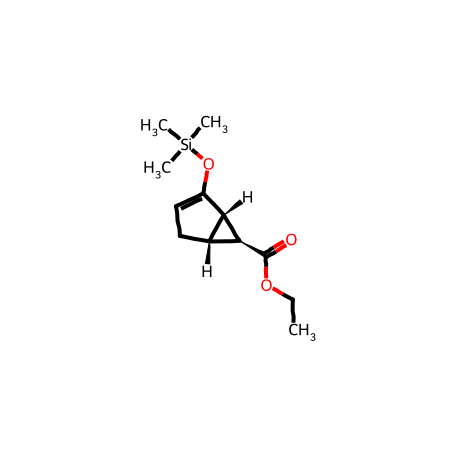 CCOC(=O)[C@H]1[C@@H]2CC=C(O[Si](C)(C)C)[C@@H]21